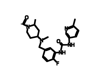 Cc1ccc(NC(=O)Nc2cc(CN(C)C3CCN([C]=O)C(C)C3)ccc2F)cn1